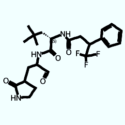 CC(C)(C)C[C@H](NC(=O)CC(c1ccccc1)C(F)(F)F)C(=O)NC(C=O)CC1CCNC1=O